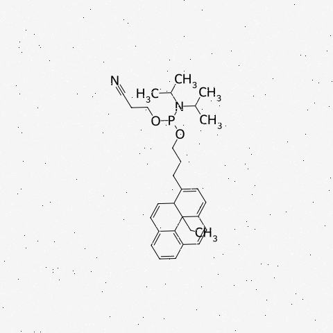 CCC12C3=CC=C(CCCOP(OCCC#N)N(C(C)C)C(C)C)C1C=Cc1cccc(c12)C=C3